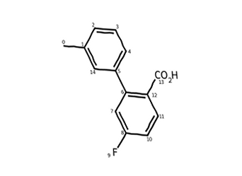 Cc1cccc(-c2cc(F)ccc2C(=O)O)c1